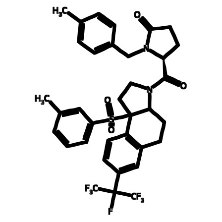 Cc1ccc(CN2C(=O)CC[C@H]2C(=O)N2CCC3(S(=O)(=O)c4cccc(C)c4)c4ccc(C(F)(C(F)(F)F)C(F)(F)F)cc4CCC23)cc1